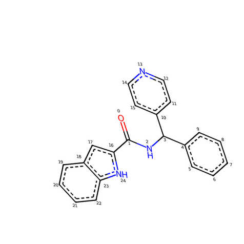 O=C(NC(c1ccccc1)c1ccncc1)c1cc2ccccc2[nH]1